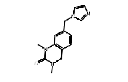 CN1Cc2ccc(Cn3ccnc3)cc2N(C)C1=O